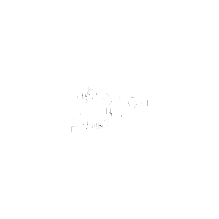 C[C@@H]1[C@@H](C)CCC[C@](O)(CN2CC(F)(F)C2)[C@@H]2CC[C@H]2CN2CCCCc3cc(Cl)ccc3COc3ccc(cc32)C(=O)NS1(=O)=O